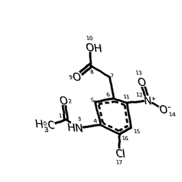 CC(=O)Nc1cc(CC(=O)O)c([N+](=O)[O-])cc1Cl